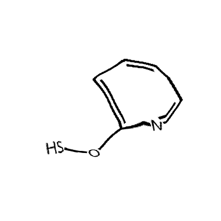 SOc1ccccn1